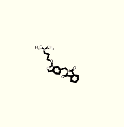 CN(C)CCCOB1OCc2ccc(CN3C(=O)c4ccccc4C3=O)cc21